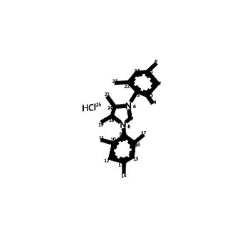 Cc1cc(C)c(N2CN(c3c(C)cc(C)cc3C)C(C)C2C)c(C)c1.Cl